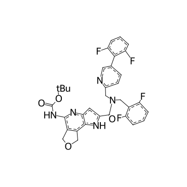 CC(C)(C)OC(=O)Nc1nc2cc(C(=O)N(Cc3ccc(-c4c(F)cccc4F)cn3)Cc3c(F)cccc3F)[nH]c2c2c1COC2